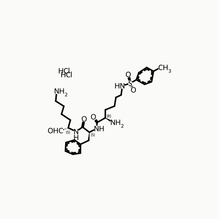 Cc1ccc(S(=O)(=O)NCCCC[C@@H](N)C(=O)N[C@@H](Cc2ccccc2)C(=O)N[C@H](C=O)CCCCN)cc1.Cl.Cl